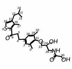 Cc1cc(CCC(=O)c2scc(CC(C)C)c2C)cc(C)c1OCC(O)CNC(=O)CO